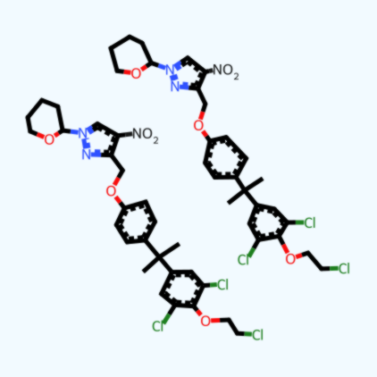 CC(C)(c1ccc(OCc2nn(C3CCCCO3)cc2[N+](=O)[O-])cc1)c1cc(Cl)c(OCCCl)c(Cl)c1.CC(C)(c1ccc(OCc2nn(C3CCCCO3)cc2[N+](=O)[O-])cc1)c1cc(Cl)c(OCCCl)c(Cl)c1